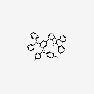 Cc1ccc(N(c2ccc(C)cc2)c2cc(-c3cccc4c3sc3c5ccccc5c5ccccc5c43)cc(N(c3ccccc3)c3ccccc3)c2)cc1